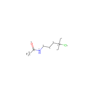 C[Si](C)(Cl)CCCNC(=O)C(F)(F)F